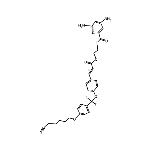 N#CCCCCCOc1ccc(C(F)(F)Oc2ccc(/C=C/C(=O)OCCOC(=O)c3cc(N)cc(N)c3)cc2)cc1